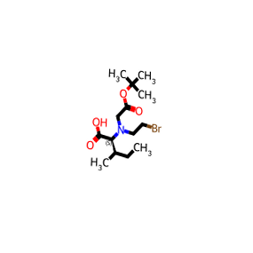 CCC(C)[C@@H](C(=O)O)N(CCBr)CC(=O)OC(C)(C)C